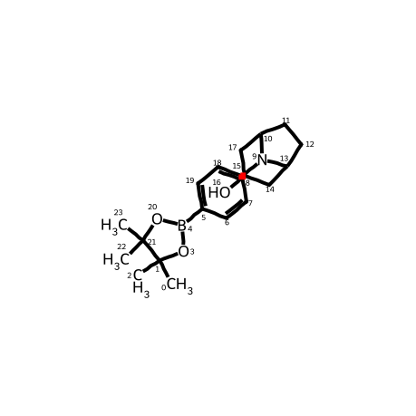 CC1(C)OB(c2ccc(N3C4CCC3CC(O)C4)cc2)OC1(C)C